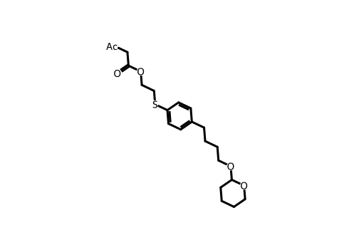 CC(=O)CC(=O)OCCSc1ccc(CCCCOC2CCCCO2)cc1